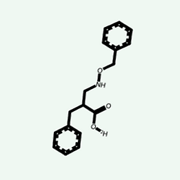 [2H]OC(=O)C(CNOCc1ccccc1)Cc1ccccc1